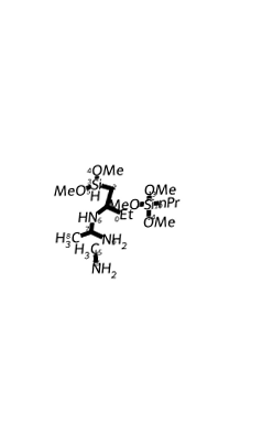 CCC(C[SiH](OC)OC)NC(C)N.CCC[Si](OC)(OC)OC.CN